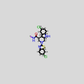 O=C(NI)C1CN(c2nc3ccc(Cl)cc3s2)Cc2[nH]c3ccc(Cl)cc3c21